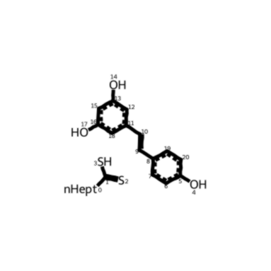 CCCCCCCC(=S)S.Oc1ccc(C=Cc2cc(O)cc(O)c2)cc1